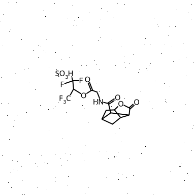 O=C(CNC(=O)C1C2CC3OC(=O)C1C3C2)OC(C(F)(F)F)C(F)(F)S(=O)(=O)O